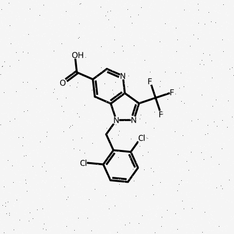 O=C(O)c1cnc2c(C(F)(F)F)nn(Cc3c(Cl)cccc3Cl)c2c1